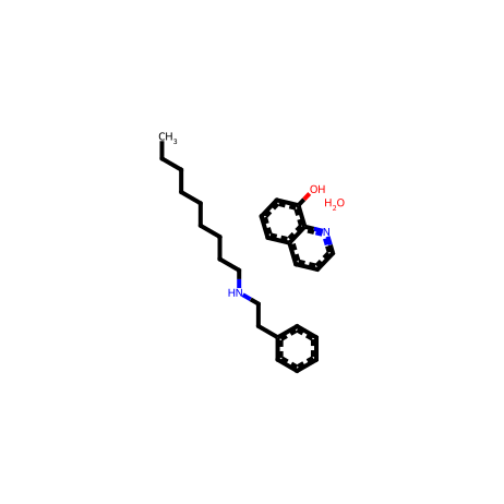 CCCCCCCCCNCCc1ccccc1.O.Oc1cccc2cccnc12